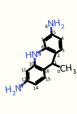 CC1c2ccc(N)cc2Nc2cc(N)ccc21